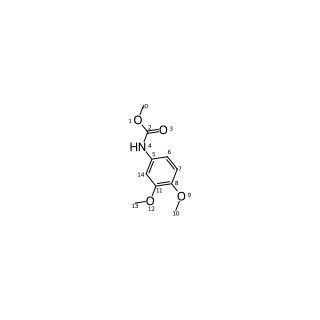 [CH2]OC(=O)Nc1ccc(OC)c(OC)c1